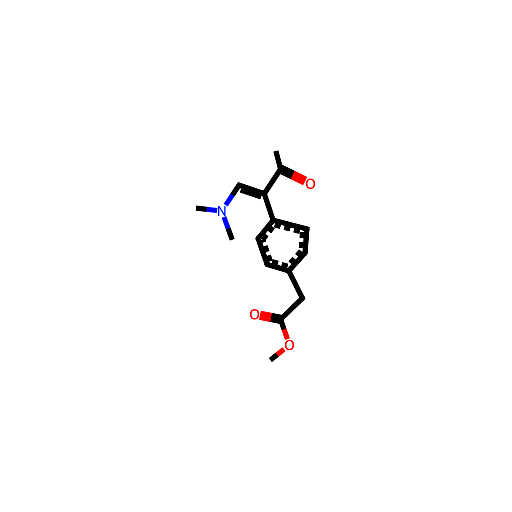 COC(=O)Cc1ccc(/C(=C\N(C)C)C(C)=O)cc1